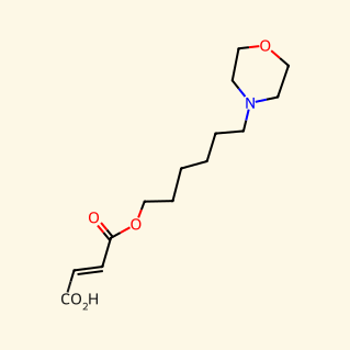 O=C(O)C=CC(=O)OCCCCCCN1CCOCC1